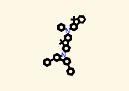 CC1(C)C2=C(CCC=C2)c2ccc(N(c3ccccc3)c3ccc4c(c3)C(C)(C)c3cc(-n5c6ccc(-c7ccccc7)cc6c6cc(-c7ccccc7)ccc65)ccc3-4)cc21